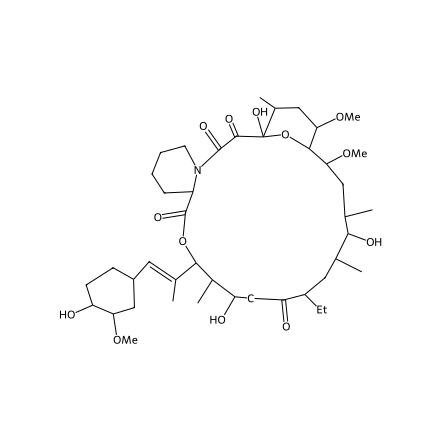 CCC1CC(C)C(O)C(C)CC(OC)C2OC(O)(C(=O)C(=O)N3CCCCC3C(=O)OC(/C(C)=C/C3CCC(O)C(OC)C3)C(C)C(O)CC1=O)C(C)CC2OC